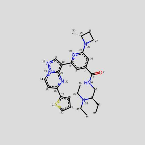 CC[C@H](CNC(=O)c1cc(-c2cnn3ccc(-c4cccs4)nc23)nc(N2CC[C@H]2C)c1)N(CC)CC